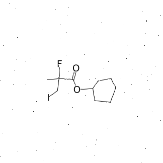 CC(F)(CI)C(=O)OC1CCCCC1